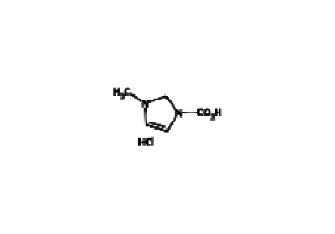 CN1C=CN(C(=O)O)C1.Cl